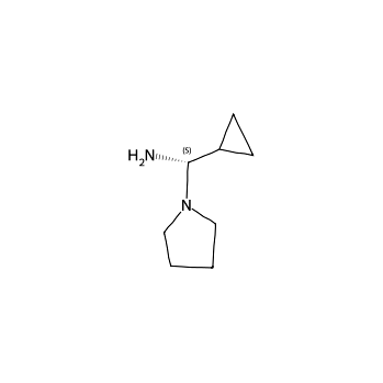 N[C@H](C1CC1)N1CCCC1